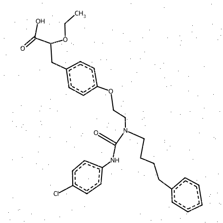 CCOC(Cc1ccc(OCCN(CCCCc2ccccc2)C(=O)Nc2ccc(Cl)cc2)cc1)C(=O)O